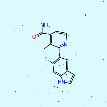 Cc1c(C(N)=O)ccnc1-c1cc2cc[nH]c2cc1F